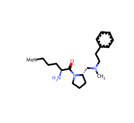 CNCCC[C@H](N)C(=O)N1CCC[C@H]1CN(C)CCc1ccccc1